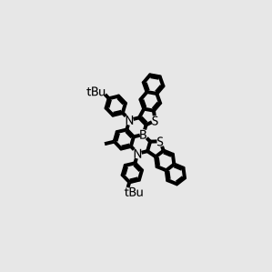 Cc1cc2c3c(c1)N(c1ccc(C(C)(C)C)cc1)C1c4cc5ccccc5cc4SC1B3c1sc3cc4ccccc4cc3c1N2c1ccc(C(C)(C)C)cc1